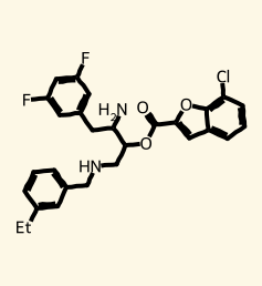 CCc1cccc(CNCC(OC(=O)c2cc3cccc(Cl)c3o2)C(N)Cc2cc(F)cc(F)c2)c1